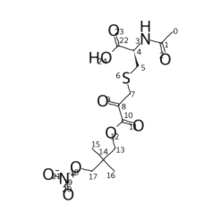 CC(=O)N[C@@H](CSCC(=O)C(=O)OCC(C)(C)CO[N+](=O)[O-])C(=O)O